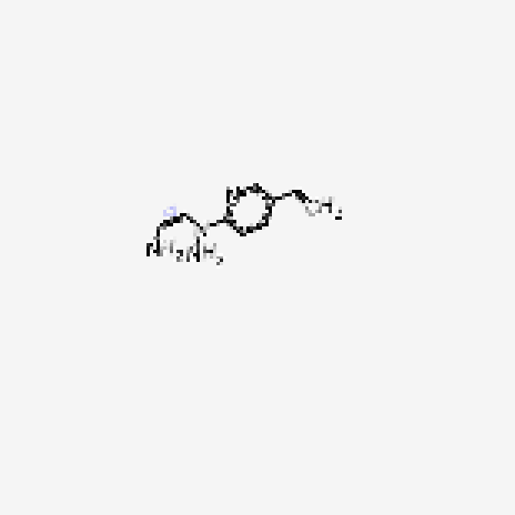 C=Cc1ccc(N(N)/C=C\N)nc1